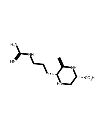 C=C1N[C@H](C(=O)O)CN[C@@H]1CCCNC(=N)N